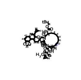 CC(C)(C)COC(=O)N[C@H]1CCCCC/C=C\[C@@H]2C[C@@]2(C(=O)NS(=O)(=O)C2(C)CC2)NC(=O)[C@@H]2C[C@]3(CCc4c(c(C5CC5)nc5ccc6c(c45)OCO6)O3)CN2C1=O